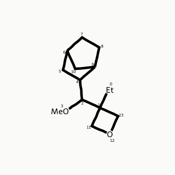 CCC1(C(OC)C2CC3CCC2C3)COC1